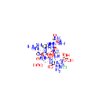 CC(=O)O.CCNC(=O)[C@@H]1CCCN1C(=O)[C@H](CCCNC(=N)N)NC(=O)[C@H](CC(C)C)NC(=O)[C@@H](CC(C)C)NC(=O)[C@H](Cc1ccc(O)cc1)NC(=O)[C@H](CO)NC(=O)[C@H](Cc1c[nH]c2ccccc12)NC(=O)[C@H](Cc1cnc[nH]1)NC(=O)[C@@H]1CCC(=O)N1.Nc1nc(Cl)nc2c1ncn2[C@H]1C[C@H](O)[C@@H](CO)O1